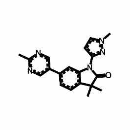 Cc1ncc(-c2ccc3c(c2)N(c2ccn(C)n2)C(=O)C3(C)C)cn1